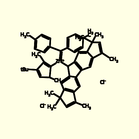 CC1=CC(C)(C)c2cc3c(cc21)-c1cc2c(cc1[CH]3[Zr+2]([C]1=C(C)C(C(C)(C)C)=CC1C)=[C](c1ccc(C)cc1)c1ccc(C)cc1)C(C)(C)C=C2C.[Cl-].[Cl-]